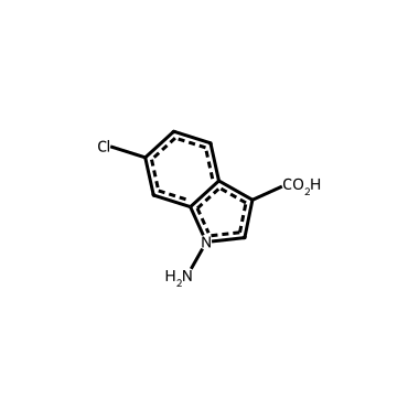 Nn1cc(C(=O)O)c2ccc(Cl)cc21